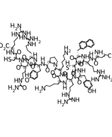 N=C(N)NCCC[C@H](NC(=O)[C@H](CS)NC(=O)[C@H](CCCNC(N)=O)NC(=O)[C@H](CCCNC(=N)N)NC(=O)[C@H](Cc1ccc(O)cc1)NC(=O)[C@@H]1CCCN1C(=O)[C@@H](CCCCN)NC(=O)[C@H](CCCCN)NC(=O)[C@H](CCCNC(=N)N)NC(=O)[C@H](Cc1ccc(O)cc1)NC(=O)[C@H](CS)NC(=O)[C@H](Cc1ccc2ccccc2c1)NC(=O)[C@H](CCCNC(=N)N)NC(=O)[C@H](N)CCC(=O)O)C(=O)O